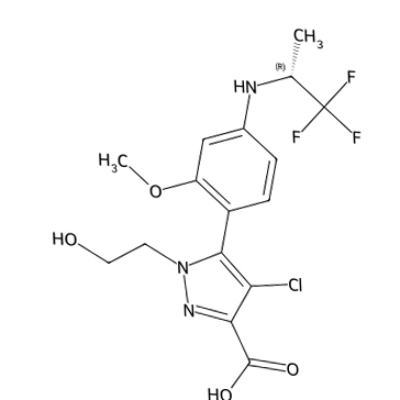 COc1cc(N[C@H](C)C(F)(F)F)ccc1-c1c(Cl)c(C(=O)O)nn1CCO